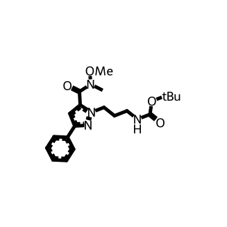 CON(C)C(=O)c1cc(-c2ccccc2)nn1CCCNC(=O)OC(C)(C)C